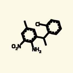 Cc1cc(C(C)c2ccccc2Cl)c(N)c([N+](=O)[O-])c1